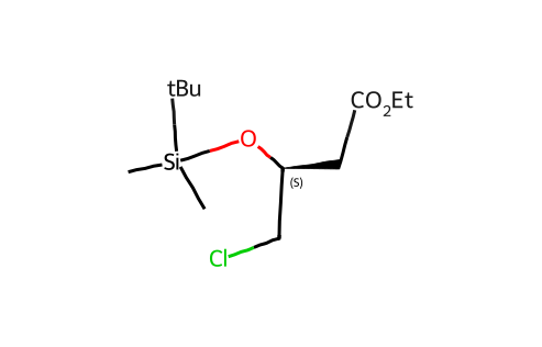 CCOC(=O)C[C@@H](CCl)O[Si](C)(C)C(C)(C)C